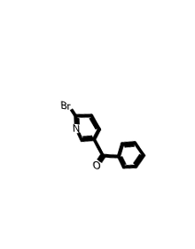 O=C(c1ccccc1)c1ccc(Br)nc1